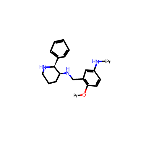 CC(C)Nc1ccc(OC(C)C)c(CN[C@H]2CCCN[C@H]2c2ccccc2)c1